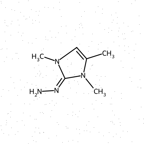 Cc1cn(C)c(=NN)n1C